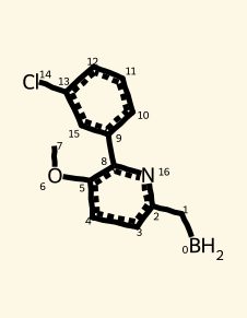 BCc1ccc(OC)c(-c2cccc(Cl)c2)n1